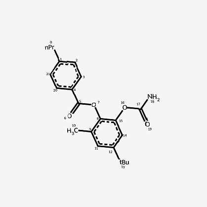 CCCc1ccc(C(=O)Oc2c(C)cc(C(C)(C)C)cc2OC(N)=O)cc1